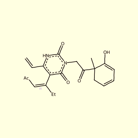 C=Cc1[nH]c(=O)n(CC(=O)C2(C)CC=CC=C2O)c(=O)c1/C(=C\C(C)=O)CC